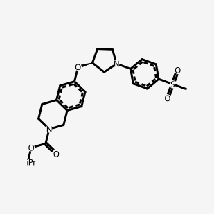 CC(C)OC(=O)N1CCc2cc(O[C@H]3CCN(c4ccc(S(C)(=O)=O)cc4)C3)ccc2C1